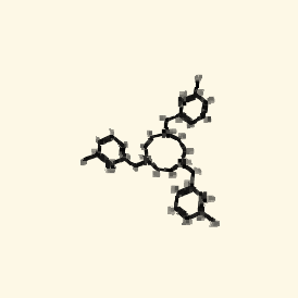 Cc1cccc(CN2CCN(Cc3cccc(C)n3)CCN(Cc3cccc(C)n3)CC2)n1